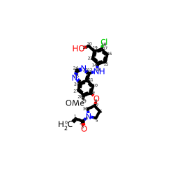 C=CC(=O)N1CCC(Oc2cc3c(Nc4ccc(Cl)c(CO)c4)ncnc3cc2OC)C1